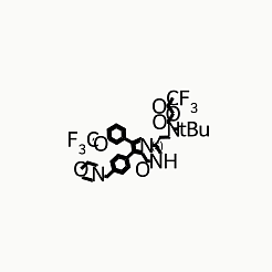 CC(C)(C)N(CC[C@H]1CNC(=O)c2c(-c3ccc(CN4CCOCC4)cc3)c(-c3cccc(OC(F)(F)F)c3)cn21)C(=O)OC(=O)C(F)(F)F